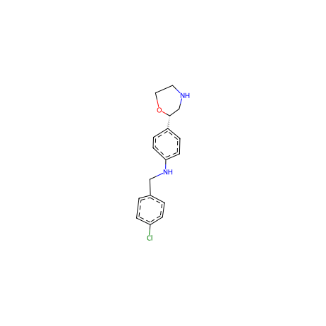 Clc1ccc(CNc2ccc([C@H]3CNCCO3)cc2)cc1